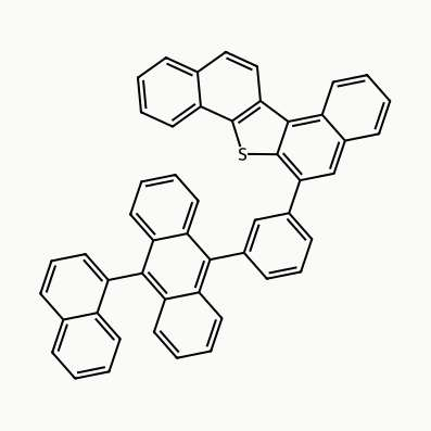 c1cc(-c2c3ccccc3c(-c3cccc4ccccc34)c3ccccc23)cc(-c2cc3ccccc3c3c2sc2c4ccccc4ccc23)c1